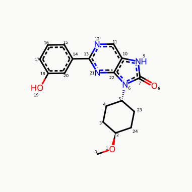 CO[C@H]1CC[C@H](n2c(=O)[nH]c3cnc(-c4cccc(O)c4)nc32)CC1